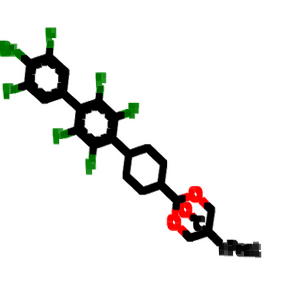 CCCCCC12COC(C3CCC(c4c(F)c(F)c(-c5cc(F)c(Br)c(F)c5)c(F)c4F)CC3)(OC1)OC2